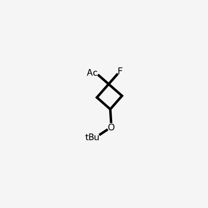 CC(=O)C1(F)CC(OC(C)(C)C)C1